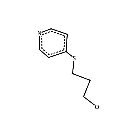 [O]CCCSc1ccncc1